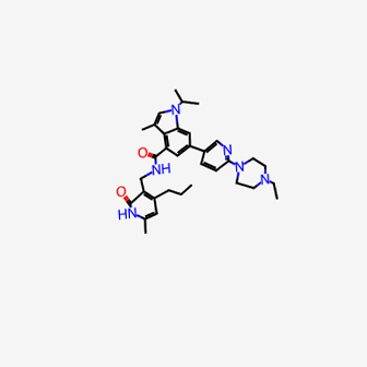 CCCc1cc(C)[nH]c(=O)c1CNC(=O)c1cc(-c2ccc(N3CCN(CC)CC3)nc2)cc2c1c(C)cn2C(C)C